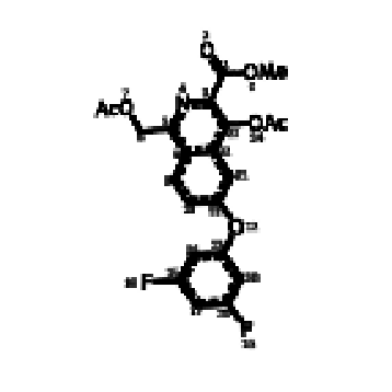 COC(=O)c1nc(COC(C)=O)c2ccc(Oc3cc(F)cc(F)c3)cc2c1OC(C)=O